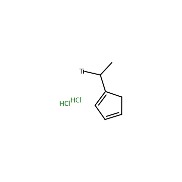 C[CH]([Ti])C1=CC=CC1.Cl.Cl